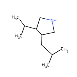 CC(C)CC1CNCC1C(C)C